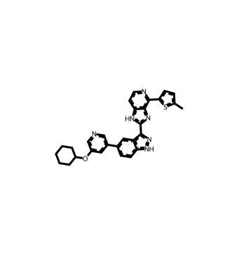 Cc1ccc(-c2nccc3[nH]c(-c4n[nH]c5ccc(-c6cncc(OC7CCCCC7)c6)cc45)nc23)s1